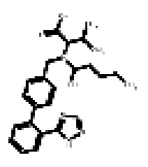 CCCCC(O)N(Cc1ccc(-c2ccccc2-c2nnn[nH]2)cc1)C(C(=O)O)C(C)C